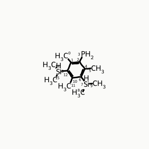 Cc1c(P)c(C)c([SiH](C)C)c(C)c1[SiH](C)C